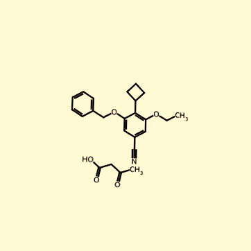 CC(=O)CC(=O)O.CCOc1cc(C#N)cc(OCc2ccccc2)c1C1CCC1